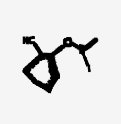 CB(I)Oc1ccccc1C#N